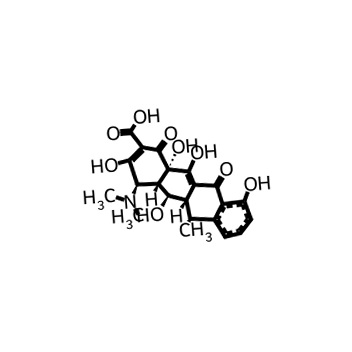 C[C@@H]1c2cccc(O)c2C(=O)C2=C(O)[C@]3(O)C(=O)C(C(=O)O)=C(O)[C@H](N(C)C)[C@H]3[C@H](O)[C@H]21